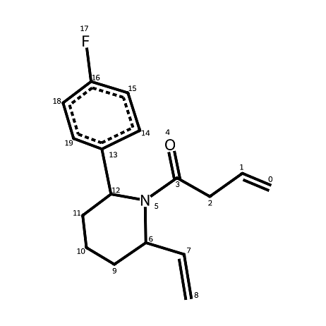 C=CCC(=O)N1C(C=C)CCCC1c1ccc(F)cc1